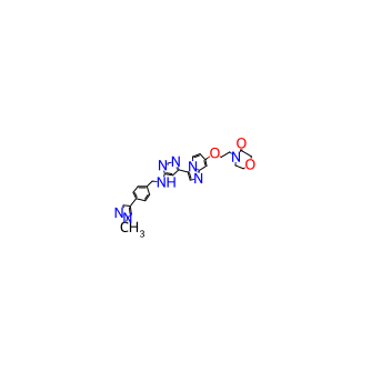 Cn1cc(-c2ccc(CNc3cc(-c4cnc5cc(OCCN6CCOCC6=O)ccn45)ncn3)cc2)cn1